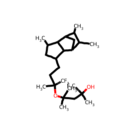 CC1CC(CCC(C)(OC(C)(C)CC(C)(O)C(F)(F)F)C(F)(F)F)C2C3CC(C(C)C3C)C12